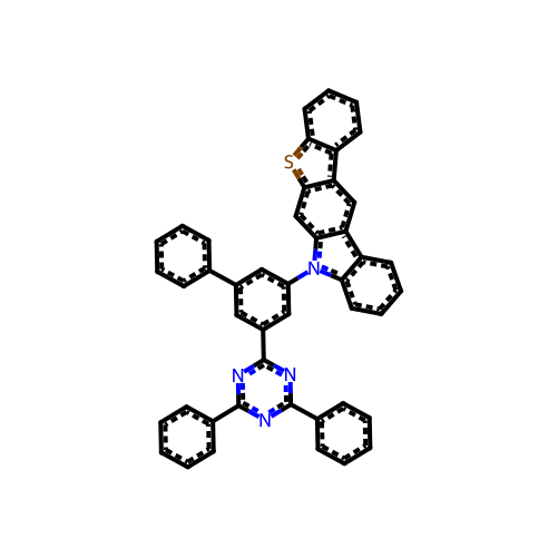 c1ccc(-c2cc(-c3nc(-c4ccccc4)nc(-c4ccccc4)n3)cc(-n3c4ccccc4c4cc5c(cc43)sc3ccccc35)c2)cc1